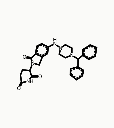 O=C1CCC(N2Cc3cc(NN4CCN(C(c5ccccc5)c5ccccc5)CC4)ccc3C2=O)C(=O)N1